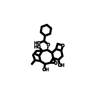 CC1CCC2(O)C(C)C1C(O)C1OC13C(O)CC1OCC1C3[C@H]2OC(O)C1CCCCC1